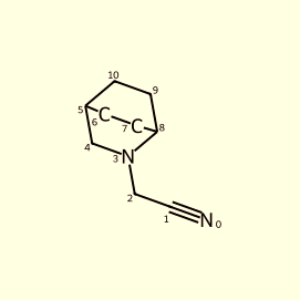 N#CCN1CC2CCC1CC2